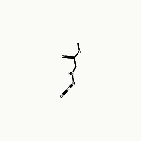 COC(=O)CNN=C=O